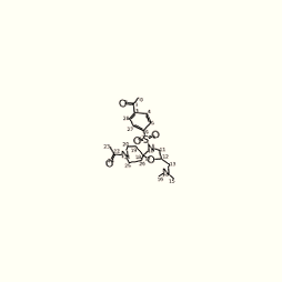 CC(=O)c1ccc(S(=O)(=O)N2CC(CN(C)C)OC23CCN(C(C)=O)CC3)cc1